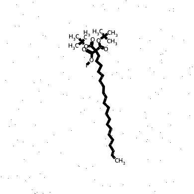 CCCCCCCCCCCCCCCCCCCCCC(C(=O)OI)(C(=O)OC(C)(C)C)C(=O)OC(C)(C)C